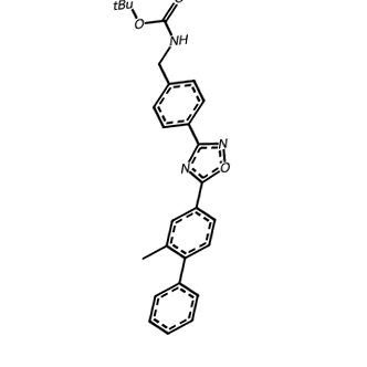 Cc1cc(-c2nc(-c3ccc(CNC(=O)OC(C)(C)C)cc3)no2)ccc1-c1ccccc1